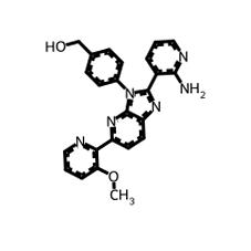 COc1cccnc1-c1ccc2nc(-c3cccnc3N)n(-c3ccc(CO)cc3)c2n1